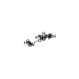 CC(C)(C)[C@H](NC(=O)c1cc2cc(C(F)(F)P(=O)(O)O)ccc2s1)C(=O)N1C[C@H](OCCCCCC#Cc2cccc3c2CN(C2CCC(=O)NC2=O)C3=O)C[C@H]1C(=O)N1CCCC(c2ccccc2)C1